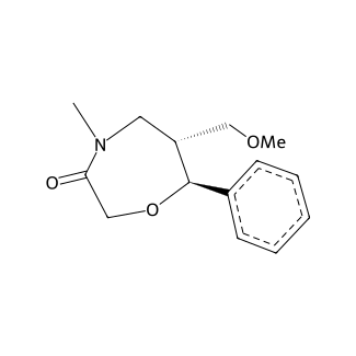 COC[C@H]1CN(C)C(=O)CO[C@@H]1c1ccccc1